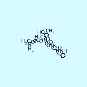 CC(N)=C=C=NC=C=C=NC(=O)[C@@H](Cc1cc(C)c(O)c(C)c1)OC(=O)N1CCC(N2CCc3ccccc3NC2=O)CC1